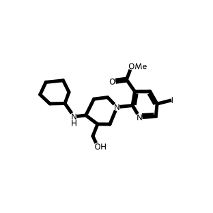 COC(=O)c1cc(I)cnc1N1CCC(NC2CCCCC2)C(CO)C1